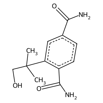 CC(C)(CO)c1cc(C(N)=O)ccc1C(N)=O